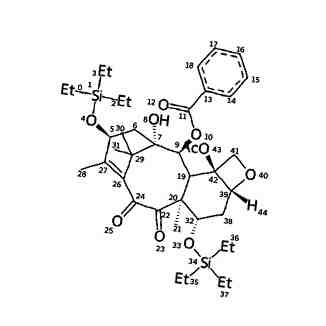 CC[Si](CC)(CC)O[C@H]1C[C@@]2(O)[C@@H](OC(=O)c3ccccc3)C3[C@](C)(C(=O)C(=O)C(=C1C)C2(C)C)[C@@H](O[Si](CC)(CC)CC)C[C@H]1OC[C@@]31OC(C)=O